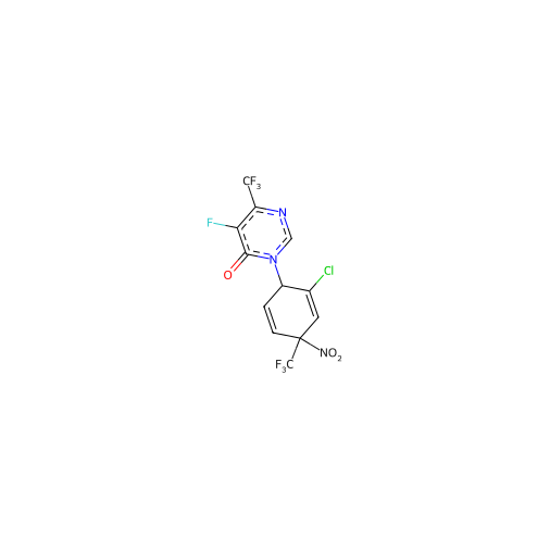 O=c1c(F)c(C(F)(F)F)ncn1C1C=CC([N+](=O)[O-])(C(F)(F)F)C=C1Cl